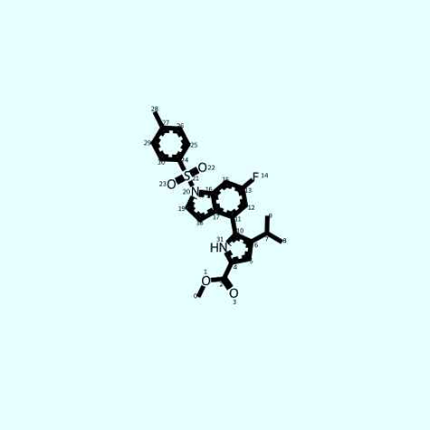 COC(=O)c1cc(C(C)C)c(-c2cc(F)cc3c2ccn3S(=O)(=O)c2ccc(C)cc2)[nH]1